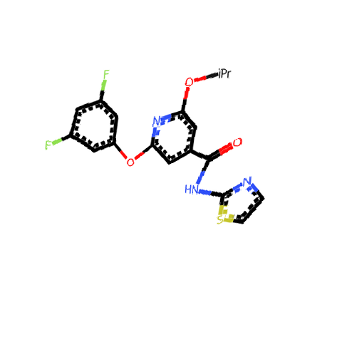 CC(C)Oc1cc(C(=O)Nc2nccs2)cc(Oc2cc(F)cc(F)c2)n1